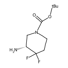 CC(C)(C)OC(=O)N1CCC(F)(F)[C@H](N)C1